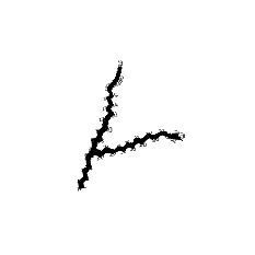 [CH2]CCCCCC(CCCCCCCCCCCCC)CCCCCCCCCCCCCC